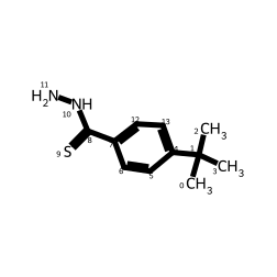 CC(C)(C)c1ccc(C(=S)NN)cc1